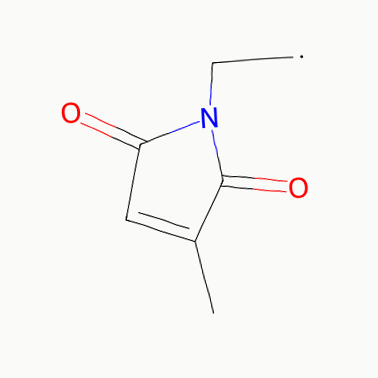 [CH2]CN1C(=O)C=C(C)C1=O